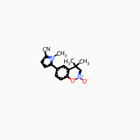 Cn1c(C#N)ccc1-c1ccc2c(c1)C(C)(C)C=[N+]([O-])O2